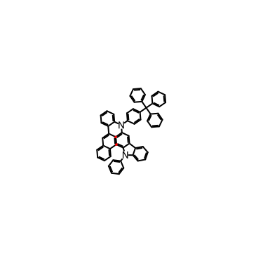 c1ccc(-n2c3ccccc3c3cc(N(c4ccc(C(c5ccccc5)(c5ccccc5)c5ccccc5)cc4)c4ccccc4-c4ccc5ccccc5c4)ccc32)cc1